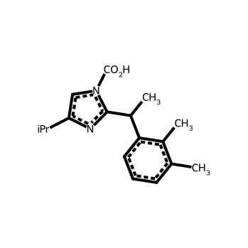 Cc1cccc(C(C)c2nc(C(C)C)cn2C(=O)O)c1C